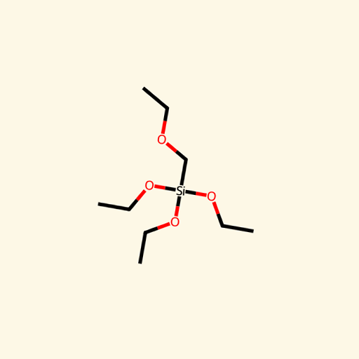 CCOC[Si](OCC)(OCC)OCC